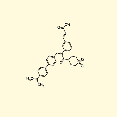 CN(C)c1ccc(-c2ccc(CN(C(=O)C3CCS(=O)(=O)CC3)c3cccc(C=CC(=O)O)c3)cc2)cc1